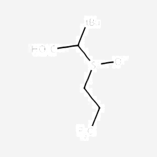 CC(C)(C)C(C(=O)O)[S+]([O-])CCC(F)(F)F